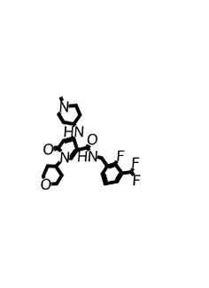 CN1CCC(Nc2cc(=O)n(C3CCOCC3)cc2C(=O)NCc2cccc(C(F)F)c2F)CC1